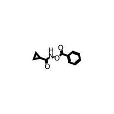 O=C(ONC(=O)C1CC1)c1ccccc1